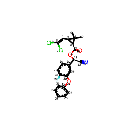 CC1(C)C(C=C(Cl)Cl)[C@@H]1C(=O)O[C@@H](C#N)c1ccc(F)c(Oc2ccccc2)c1